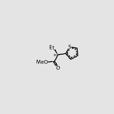 CC[C@H](C(=O)OC)c1cccs1